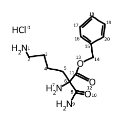 Cl.NCCCCC(N)(C(N)=O)C(=O)OCc1ccccc1